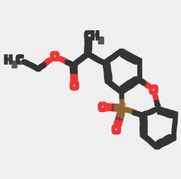 C=C(C(=O)OCC)c1ccc2c(c1)S(=O)(=O)c1ccccc1O2